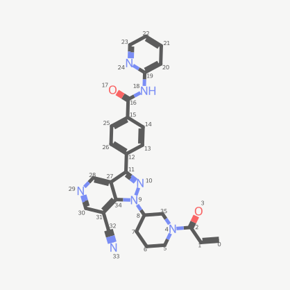 C=CC(=O)N1CCCC(n2nc(-c3ccc(C(=O)Nc4ccccn4)cc3)c3cncc(C#N)c32)C1